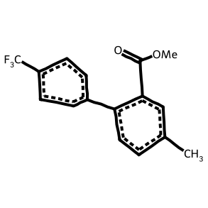 COC(=O)c1cc(C)ccc1-c1ccc(C(F)(F)F)cc1